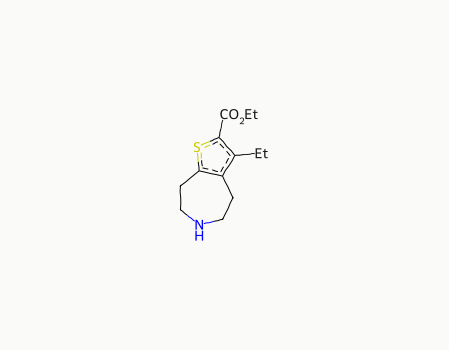 CCOC(=O)c1sc2c(c1CC)CCNCC2